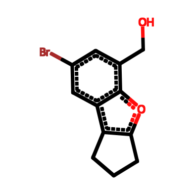 OCc1cc(Br)cc2c3c(oc12)CCC3